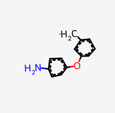 [CH2]c1cccc(Oc2ccc(N)cc2)c1